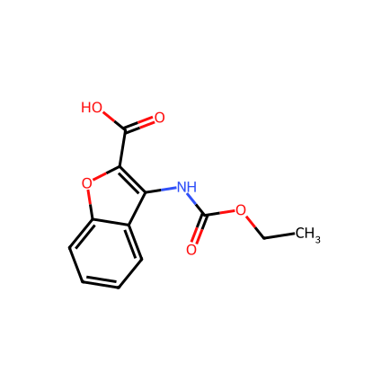 CCOC(=O)Nc1c(C(=O)O)oc2ccccc12